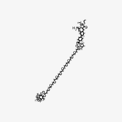 CCCN(OCC)C(=O)C1=Cc2ccc(-c3ccc(C(=O)N4CCC[C@@H]4C(=O)NCCOCCOCCOCCOCCOCCOCCOCCOCCOCCOCCC(=O)Oc4c(F)c(F)c(S(C)(=O)=O)c(F)c4F)cc3)cc2N=C(N)C1